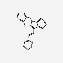 Fc1ccccc1Cn1nc(C=Cc2ccccn2)c2ccccc21